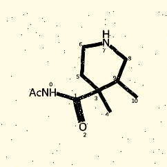 CC(=O)NC(=O)C1(C)CCNCC1C